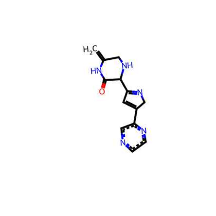 C=C1CNC(C2=NCC(c3cnccn3)=C2)C(=O)N1